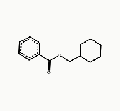 O=C(OCC1CCCCC1)c1ccccc1